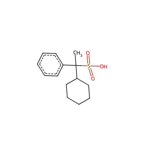 CC(c1ccccc1)(C1CCCCC1)S(=O)(=O)O